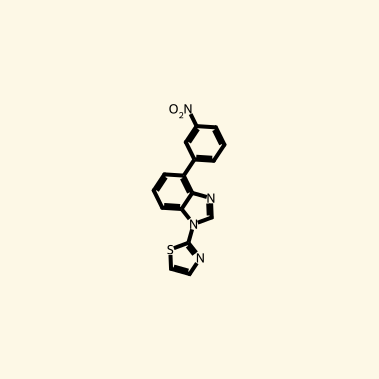 O=[N+]([O-])c1cccc(-c2cccc3c2ncn3-c2nccs2)c1